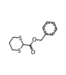 O=C(OCc1ccccc1)C1SCCCS1